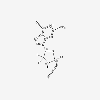 CC[C@@]1(N=[N+]=[N-])O[C@@H](n2cnc3c(=O)[nH]c(N)nc32)C(F)(F)[C@@H]1C